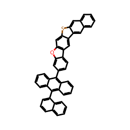 c1ccc2cc3c(cc2c1)sc1cc2oc4cc(-c5c6ccccc6c(-c6cccc7ccccc67)c6ccccc56)ccc4c2cc13